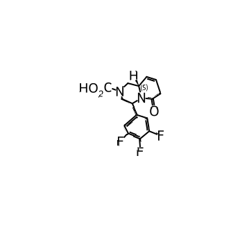 O=C(O)N1CC(c2cc(F)c(F)c(F)c2)N2C(=O)CC=C[C@H]2C1